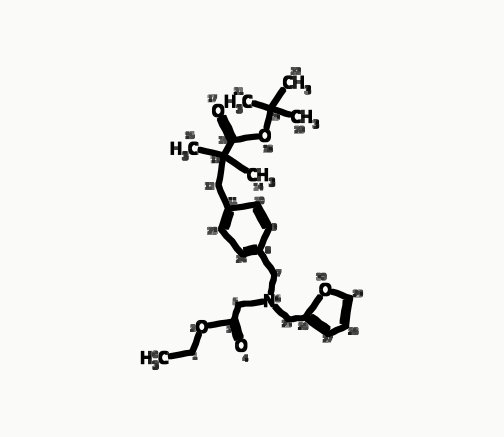 CCOC(=O)CN(Cc1ccc(CC(C)(C)C(=O)OC(C)(C)C)cc1)Cc1ccco1